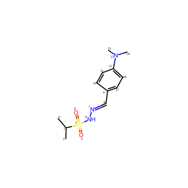 CC(C)S(=O)(=O)NN=Cc1ccc(N(C)C)cc1